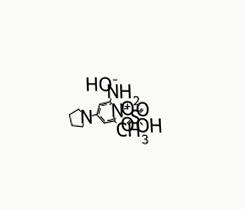 Cc1cc(N2CCCC2)cc(N)[n+]1OS(=O)(=O)O.[OH-]